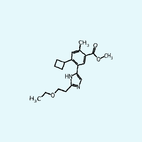 CCOCCc1ncc(-c2cc(C(=O)OC)c(C)cc2C2CCC2)[nH]1